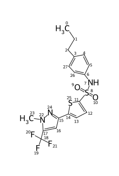 CCCc1ccc(NS(=O)(=O)c2ccc(-c3cc(C(F)(F)F)n(C)n3)s2)cc1